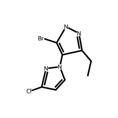 CCC1=N[N]C(Br)=C1n1ccc(Cl)n1